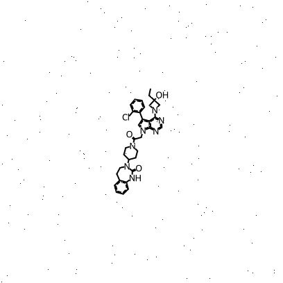 CCC1(O)CN(c2ncnc3c2c(-c2ccccc2Cl)cn3CC(=O)N2CCC(N3CCc4ccccc4NC3=O)CC2)C1